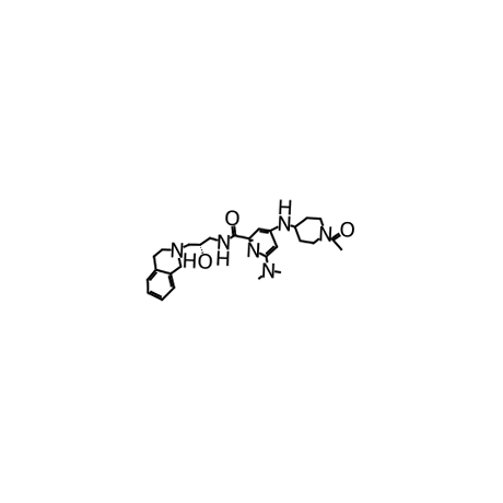 CC(=O)N1CCC(Nc2cc(C(=O)NC[C@H](O)CN3CCc4ccccc4C3)nc(N(C)C)c2)CC1